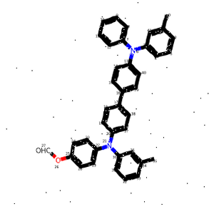 Cc1cccc(N(c2ccccc2)c2ccc(-c3ccc(N(c4ccc(OC=O)cc4)c4cccc(C)c4)cc3)cc2)c1